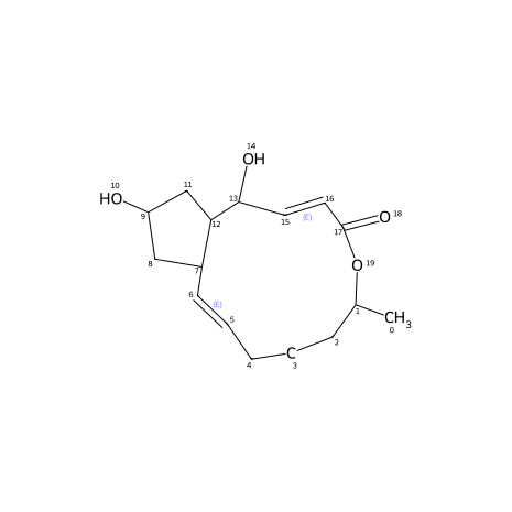 CC1CCC/C=C/C2CC(O)CC2C(O)/C=C/C(=O)O1